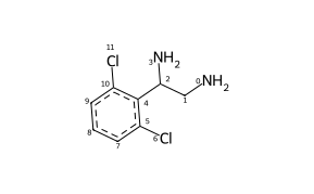 NCC(N)c1c(Cl)cccc1Cl